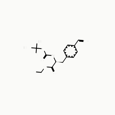 C=Cc1ccc(C[C@H](NC(=O)OC(C)(C)C)C(=O)OCC)cc1